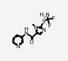 Cn1c(C(=O)Nc2cccnc2)cnc1SC(N)(F)F